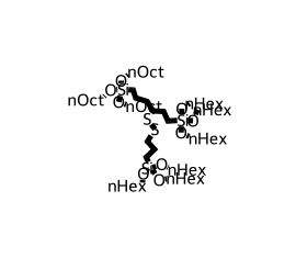 CCCCCCCCO[Si](CCCC(CC[Si](OCCCCCC)(OCCCCCC)OCCCCCC)SSCCC[Si](OCCCCCC)(OCCCCCC)OCCCCCC)(OCCCCCCCC)OCCCCCCCC